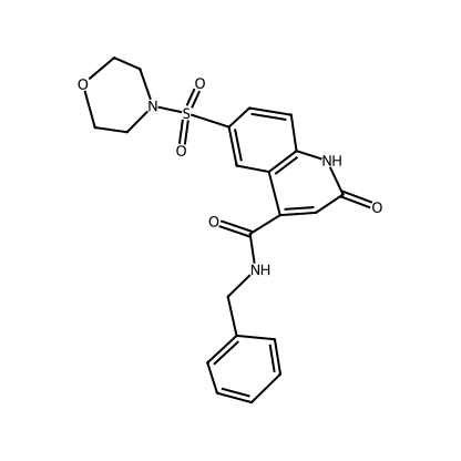 O=C(NCc1ccccc1)c1cc(=O)[nH]c2ccc(S(=O)(=O)N3CCOCC3)cc12